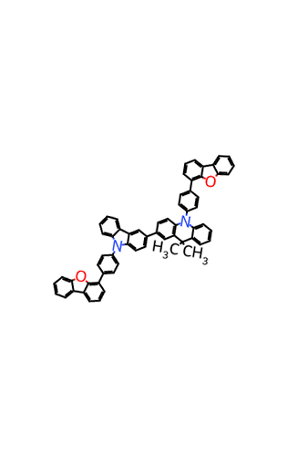 CC1(C)c2ccccc2N(c2ccc(-c3cccc4c3oc3ccccc34)cc2)c2ccc(-c3ccc4c(c3)c3ccccc3n4-c3ccc(-c4cccc5c4oc4ccccc45)cc3)cc21